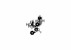 Cc1c(N(C)C2CCN(Cc3ccccc3)C2)cc(F)c(S(=O)(=O)Nc2ccsn2)c1F.O=C(O)C(F)(F)F